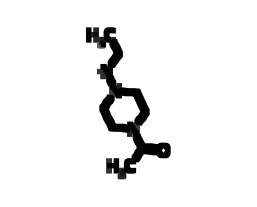 CC[N]N1CCN(C(C)=O)CC1